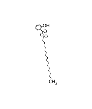 CCCCCCCCC=CCCCCCCCC(=O)OC(=O)c1ccccc1O